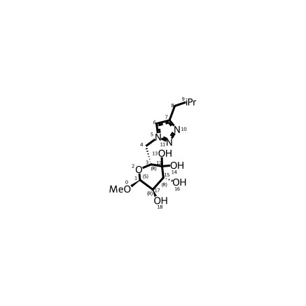 CO[C@H]1O[C@H](Cn2cc(CC(C)C)nn2)C(O)(O)[C@H](O)[C@H]1O